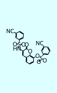 N#Cc1cccc(S(=O)(=O)Nc2cc3cccc(OS(=O)(=O)c4cccc(C#N)c4)c3oc2=O)c1